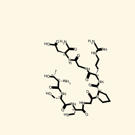 C[C@@H](O)[C@H](N)C(=O)N[C@@H](CO)C(=O)N[C@@H](CS)C(=O)NCC(=O)N1CCC[C@H]1C(=O)N[C@@H](CCCNC(=N)N)C(=O)NCC(=O)N[C@@H](CC(=O)O)C(N)=O